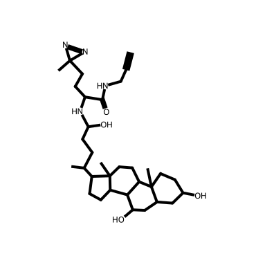 C#CCNC(=O)C(CCC1(C)N=N1)NC(O)CCC(C)C1CCC2C3C(O)CC4CC(O)CCC4(C)C3CCC12C